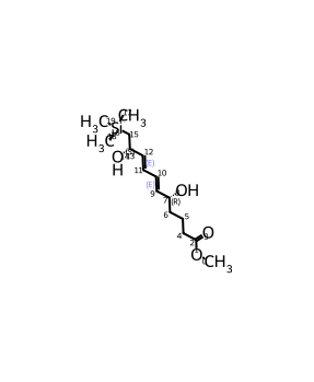 COC(=O)CCC[C@@H](O)/C=C/C=C/[C@H](O)C[Si](C)(C)C